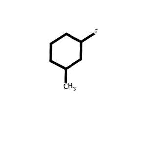 CC1CCCC(F)C1